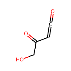 O=C=CC(=O)CO